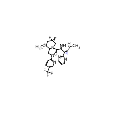 CN/C=C(\C(=N)C(=O)N1CC(F)(F)C[C@@H](C)C1COc1ccc(C(F)(F)F)cn1)c1ncccn1